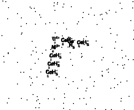 [GeH5-].[GeH5-].[GeH5-].[GeH5-].[GeH5-].[GeH5-].[Ni+2].[Ti+4]